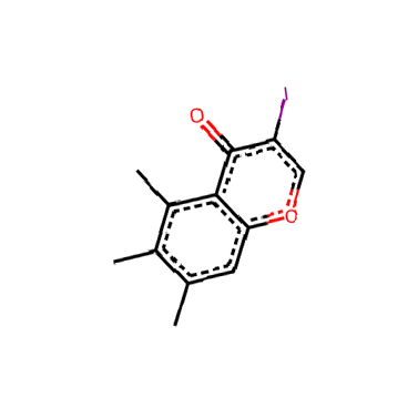 Cc1cc2occ(I)c(=O)c2c(C)c1C